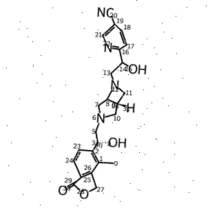 Cc1c([C@@H](O)CN2CC3[C@@H](C2)CN3CC(O)c2ccc(C#N)cn2)ccc2c1COC2=O